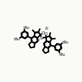 CC1=C(C)C(Cl)([SiH2]C2(Cl)C(C)=C(C)c3c2cc2c(c3-c3cc(C(C)(C)C)cc(C(C)(C)C)c3)CCC2)c2cc3c(c(-c4cc(C(C)(C)C)cc(C(C)(C)C)c4)c21)CCC3.[Zr]